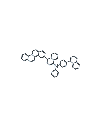 c1ccc(N(c2ccc(-c3cccc4ccccc34)cc2)c2ccc(-c3ccc4ccc5c6ccccc6ccc5c4c3)c3ccccc23)cc1